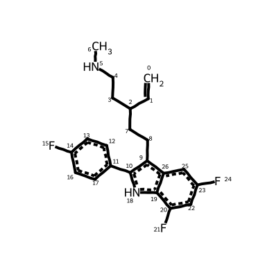 C=CC(CCNC)CCc1c(-c2ccc(F)cc2)[nH]c2c(F)cc(F)cc12